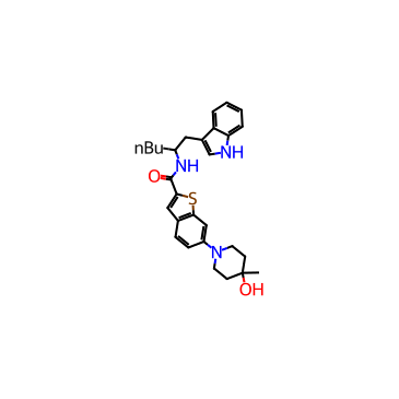 CCCCC(Cc1c[nH]c2ccccc12)NC(=O)c1cc2ccc(N3CCC(C)(O)CC3)cc2s1